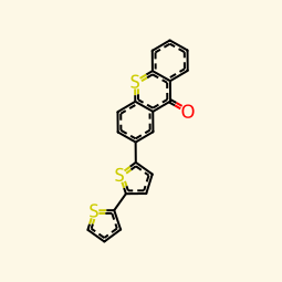 O=c1c2ccccc2sc2ccc(-c3ccc(-c4cccs4)s3)cc12